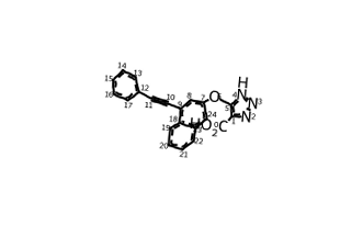 O=C(O)c1nn[nH]c1Oc1cc(C#Cc2ccccc2)c2ccccc2c1